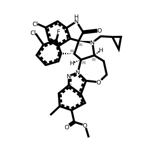 COC(=O)c1cc2c3n(nc2cc1C)[C@@H]1[C@H](CCO3)N(CC2CC2)[C@@]2(C(=O)Nc3cc(Cl)ccc32)[C@H]1c1cccc(Cl)c1F